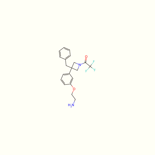 NCCOc1cccc(C2(Cc3ccccc3)CN(C(=O)C(F)(F)F)C2)c1